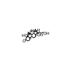 C[C@]12CCC3C(C1[C@@H]1C[C@@H]1[C@@]2(O)CCCO)[C@H]1C[C@H]1[C@]1(O)CC(=O)CC[C@]31C